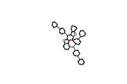 c1ccc(-c2ccc(-c3c4oc5cccc(N(c6ccc(-c7ccccc7)cc6)c6ccc(-c7ccccc7)cc6)c5c4cc4oc5ccccc5c34)cc2)cc1